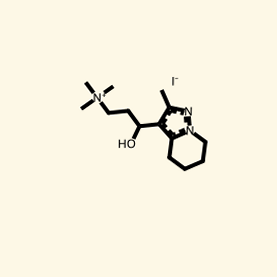 Cc1nn2c(c1C(O)CC[N+](C)(C)C)CCCC2.[I-]